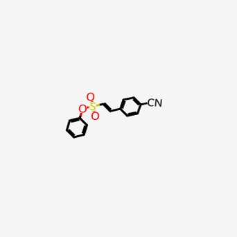 N#Cc1ccc(/C=C/S(=O)(=O)Oc2ccccc2)cc1